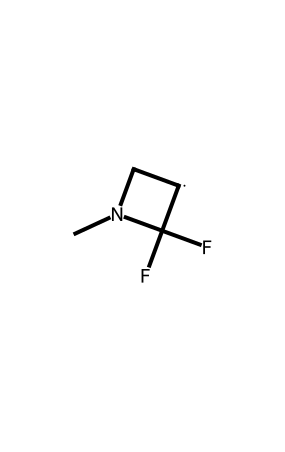 CN1C[CH]C1(F)F